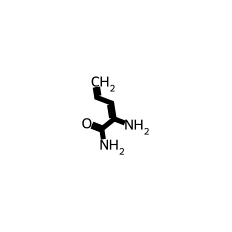 C=C/C=C(/N)C(N)=O